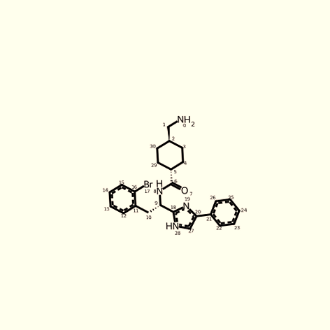 NC[C@H]1CC[C@H](C(=O)N[C@@H](Cc2ccccc2Br)c2nc(-c3ccccc3)c[nH]2)CC1